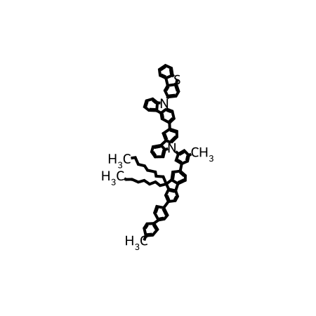 CCCCCCCCC1(CCCCCCCC)c2cc(-c3ccc(-c4ccc(C)cc4)cc3)ccc2-c2ccc(-c3cc(C)cc(-n4c5ccccc5c5cc(-c6ccc7c(c6)c6ccccc6n7-c6ccc7sc8ccccc8c7c6)ccc54)c3)cc21